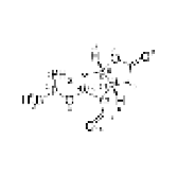 BP(P)O[C@@H]1C[C@@H]2OC(=O)C[C@@H]2C1C=O